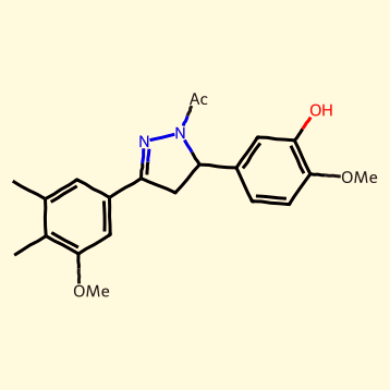 COc1ccc(C2CC(c3cc(C)c(C)c(OC)c3)=NN2C(C)=O)cc1O